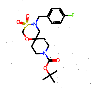 CC(C)(C)OC(=O)N1CCC2(CC1)CN(Cc1ccc(F)cc1)S(=O)(=O)CO2